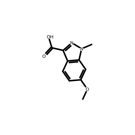 COc1ccc2c(C(=O)O)nn(C)c2c1